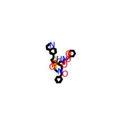 O=C(CC1(c2ccc(-c3ccc4ncccc4c3)s2)CCN(C(=O)c2ccccc2)CCS1(=O)=O)NOC1CCCCO1